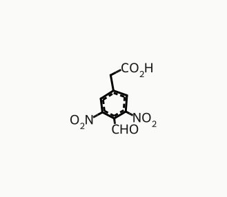 O=Cc1c([N+](=O)[O-])cc(CC(=O)O)cc1[N+](=O)[O-]